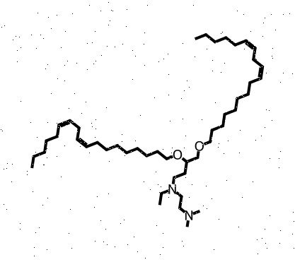 CCCCC/C=C\C/C=C\CCCCCCCCOCC(CCN(CC)CCN(C)C)OCCCCCCCC/C=C\C/C=C\CCCCC